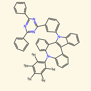 [2H]c1c([2H])c([2H])c(N2c3ccccc3-c3c(n(-c4cccc(-c5nc(-c6ccccc6)nc(-c6ccccc6)n5)c4)c4ccccc34)-c3ccccc32)c([2H])c1[2H]